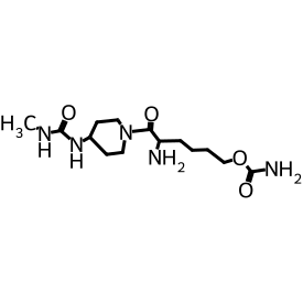 CNC(=O)NC1CCN(C(=O)C(N)CCCCOC(N)=O)CC1